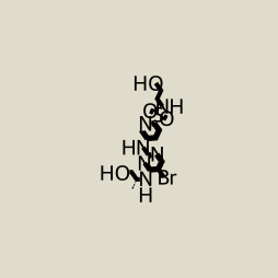 C[C@H](CO)Nc1nc(Nc2ccc(S(=O)(=O)NCCO)nc2)ncc1Br